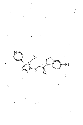 CCc1ccc2c(c1)CCN2C(=O)CSc1nnc(-c2ccncc2)n1C1CC1